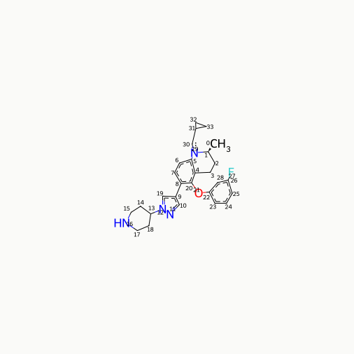 C[C@H]1CCc2c(ccc(-c3cnn(C4CCNCC4)c3)c2Oc2cccc(F)c2)N1[C]C1CC1